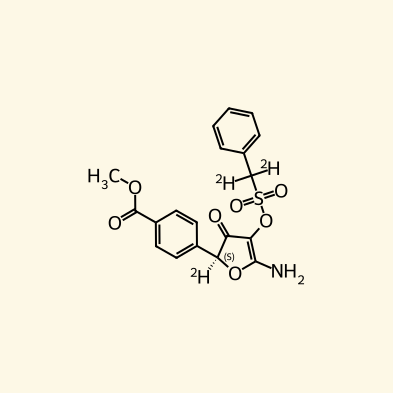 [2H]C([2H])(c1ccccc1)S(=O)(=O)OC1=C(N)O[C@@]([2H])(c2ccc(C(=O)OC)cc2)C1=O